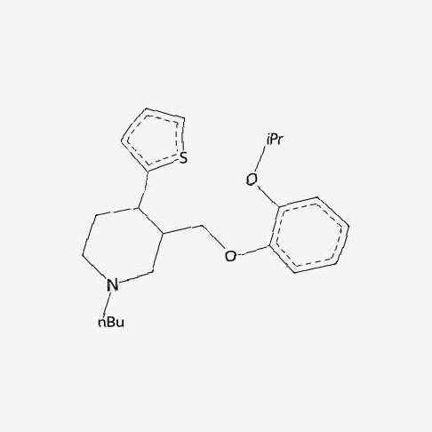 CCCCN1CCC(c2cccs2)C(COc2ccccc2OC(C)C)C1